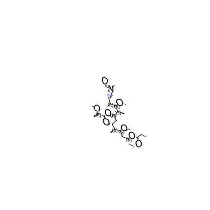 CCC(=O)O[C@H](CC)C[C@H](OC)[C@@H](C)CC[C@@H](OC(=O)[C@@H](C)OC)[C@H](C)[C@H](OC)[C@H](C)/C=C/N(C)C=O